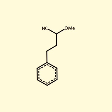 COC(C#N)CCc1ccccc1